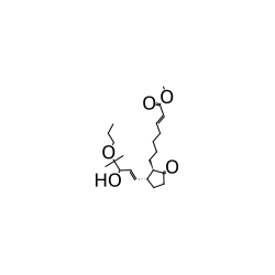 CCCOC(C)(C)C(O)/C=C/[C@H]1CCC(=O)[C@@H]1CCCC/C=C/C(=O)OC